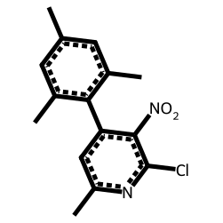 Cc1cc(C)c(-c2cc(C)nc(Cl)c2[N+](=O)[O-])c(C)c1